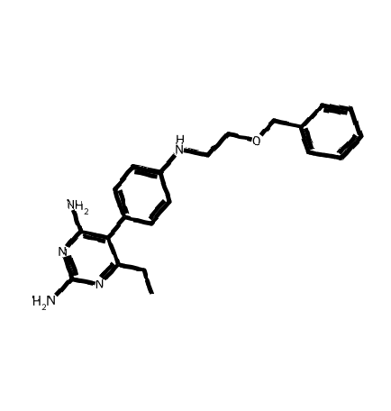 CCc1nc(N)nc(N)c1-c1ccc(NCCOCc2ccccc2)cc1